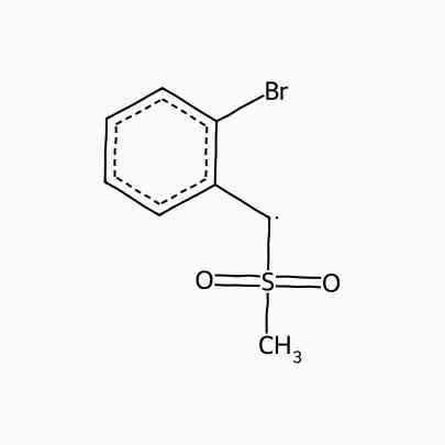 CS(=O)(=O)[CH]c1ccccc1Br